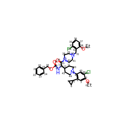 CCOc1cc(C2CC2)c(N2CCC([C@@H](NC(=O)OCc3ccccc3)C(=O)N3CCN(Cc4c(F)cccc4OCC)CC3)CC2)cc1Cl